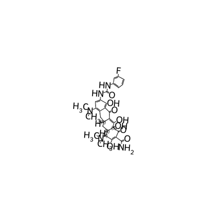 CN(C)c1cc(NC(=O)Nc2cccc(F)c2)c(O)c2c1C[C@H]1C[C@H]3[C@@H](N(C)C)C(O)=C(C(N)=O)C(=O)[C@@]3(O)C(O)=C1C2=O